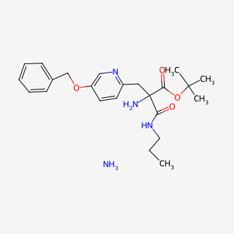 CCCNC(=O)C(N)(Cc1ccc(OCc2ccccc2)cn1)C(=O)OC(C)(C)C.N